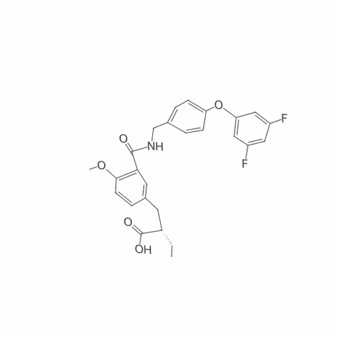 CC[C@@H](Cc1ccc(OC)c(C(=O)NCc2ccc(Oc3cc(F)cc(F)c3)cc2)c1)C(=O)O